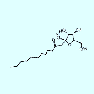 CCCCCCCCCCC(=O)C[C@@]1(O)O[C@H](CO)[C@H](O)[C@H]1O